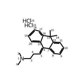 CN(C)CCC=C1c2ccccc2C(C)(C)c2ccccc21.Cl.Cl